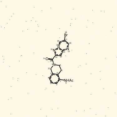 CC(=O)Nc1cccc2c1CCN(C(=O)c1cc3ncc(Br)cn3n1)C2